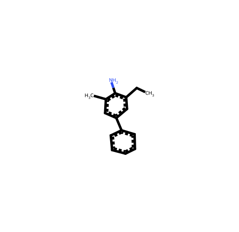 CCc1cc(-c2ccccc2)cc(C)c1N